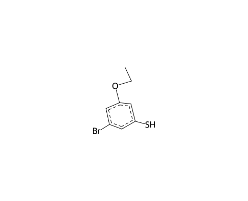 CCOc1cc(S)cc(Br)c1